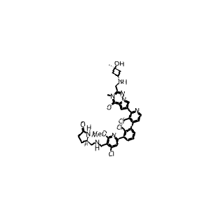 COc1nc(-c2cccc(-c3ccnc(-c4cc5c(=O)n(C)c(CN[C@H]6C[C@](C)(O)C6)nn5c4)c3Cl)c2Cl)cc(Cl)c1CNC[C@H]1CCC(=O)N1